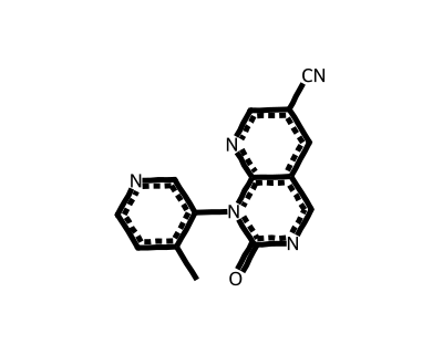 Cc1ccncc1-n1c(=O)ncc2cc(C#N)cnc21